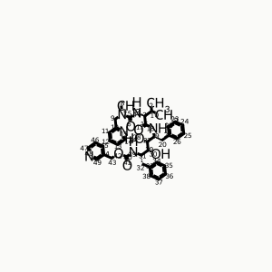 CC(C)[C@H](NC(=O)N(C)Cc1ccccn1)C(=O)N[C@@H](Cc1ccccc1)[C@H](O)[C@@H](O)[C@H](Cc1ccccc1)NC(=O)OCc1cccnc1